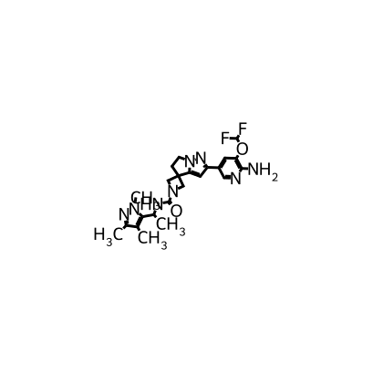 Cc1nn(C)c(C(C)NC(=O)N2CC3(CCn4nc(-c5cnc(N)c(OC(F)F)c5)cc43)C2)c1C